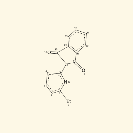 CCc1cccc(C2C(=O)c3ccccc3C2=O)n1